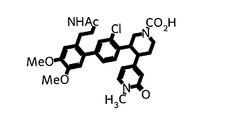 COc1cc(CCNC(C)=O)c(-c2ccc(C3CN(C(=O)O)CCC3c3ccn(C)c(=O)c3)c(Cl)c2)cc1OC